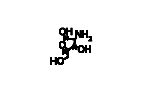 NC1[C@@H](O)O[C@H](CO)[C@H]1O